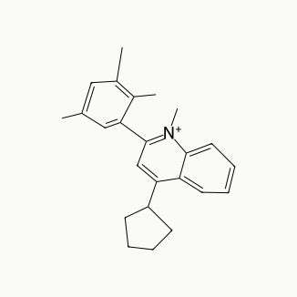 Cc1cc(C)c(C)c(-c2cc(C3CCCC3)c3ccccc3[n+]2C)c1